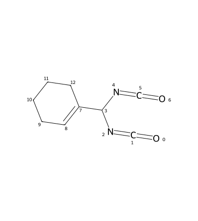 O=C=NC(N=C=O)C1=CCCCC1